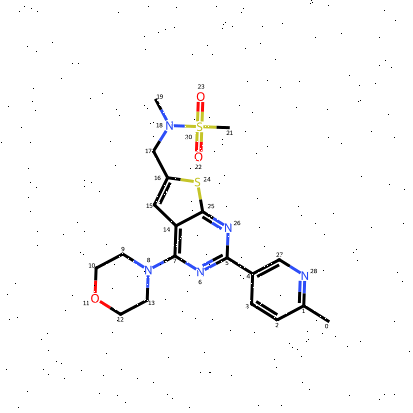 Cc1ccc(-c2nc(N3CCOCC3)c3cc(CN(C)S(C)(=O)=O)sc3n2)cn1